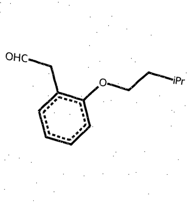 CC(C)CCOc1ccccc1CC=O